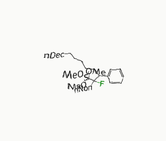 CCCCCCCCCCCCCCCC(c1ccccc1)C(F)(CCCCCCCCC)[Si](OC)(OC)OC